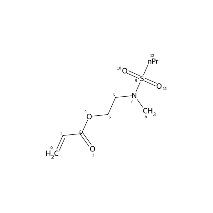 C=CC(=O)OCCN(C)S(=O)(=O)CCC